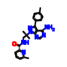 Cc1ccc(-c2nn(C(C)(C)CNC(=O)c3cccc(C)n3)c3ncnc(N)c23)cc1